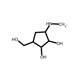 [CH2]NC1CC(CO)C(O)C1O